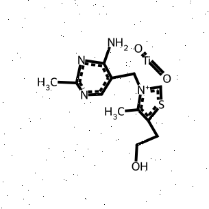 Cc1ncc(C[n+]2csc(CCO)c2C)c(N)n1.[O]=[Ti]=[O]